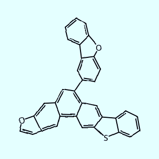 c1ccc2c(c1)oc1ccc(-c3cc4cc5occc5cc4c4cc5sc6ccccc6c5cc34)cc12